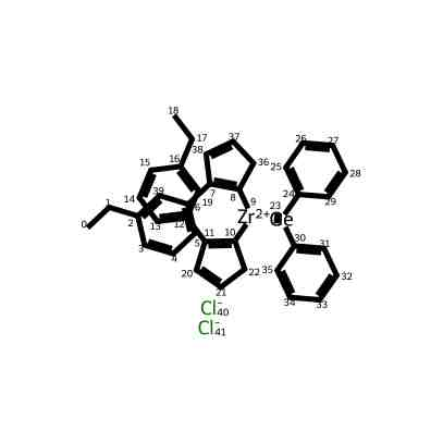 CCc1cccc(C2=[C]([Zr+2]([C]3=C(c4cccc(CC)c4)C=CC3)=[Ge]([c]3ccccc3)[c]3ccccc3)CC=C2)c1.[Cl-].[Cl-]